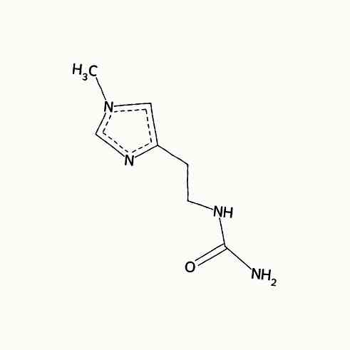 Cn1cnc(CCNC(N)=O)c1